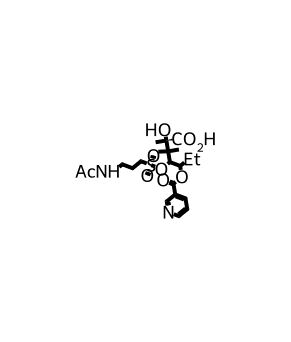 CCC(OC(=O)c1cccnc1)C(OS(=O)(=O)CCCNC(C)=O)C(C)(C)[C@@](C)(O)C(=O)O